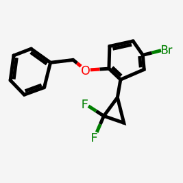 FC1(F)CC1c1cc(Br)ccc1OCc1ccccc1